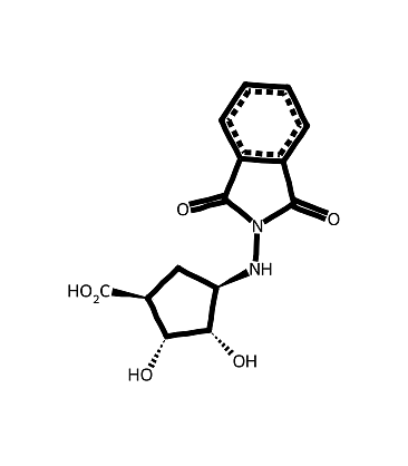 O=C(O)[C@H]1C[C@@H](NN2C(=O)c3ccccc3C2=O)[C@H](O)[C@@H]1O